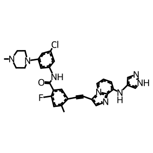 Cc1cc(F)c(C(=O)Nc2cc(Cl)cc(N3CCN(C)CC3)c2)cc1C#Cc1cnc2c(Nc3cn[nH]c3)cccn12